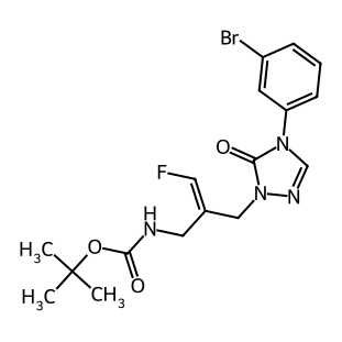 CC(C)(C)OC(=O)NCC(=CF)Cn1ncn(-c2cccc(Br)c2)c1=O